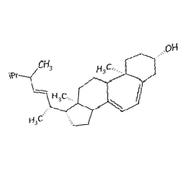 CC(C)C(C)/C=C/[C@@H](C)[C@H]1CCC2C3=CC=C4C[C@@H](O)CC[C@]4(C)C3CC[C@@]21C